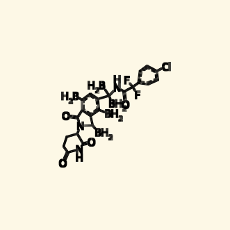 Bc1cc(C(B)(B)NC(=O)C(F)(F)c2ccc(Cl)cc2)c(B)c2c1C(=O)N(C1CCC(=O)NC1=O)C2B